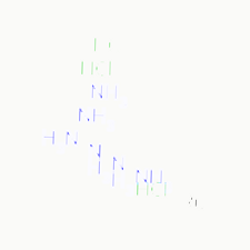 Cl.Cl.Cl.N.N.N.N.N.N.[Ru]